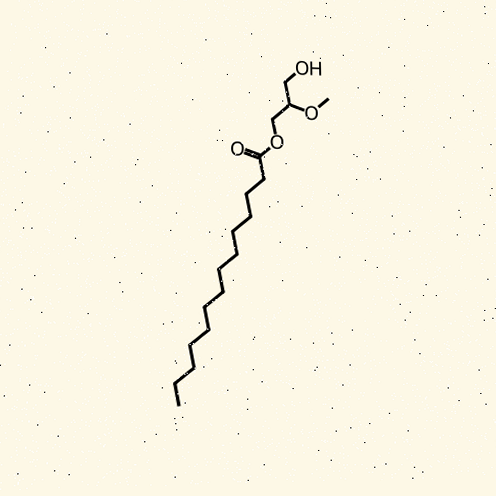 CCCCCCCCCCCCCC(=O)OCC(CO)OC